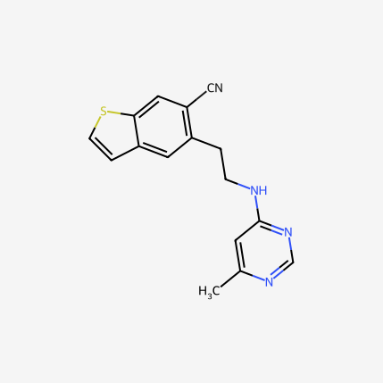 Cc1cc(NCCc2cc3ccsc3cc2C#N)ncn1